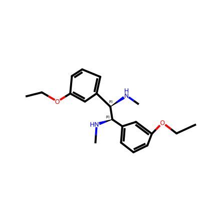 CCOc1cccc([C@@H](NC)[C@H](NC)c2cccc(OCC)c2)c1